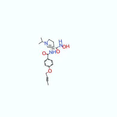 CC#CCOc1ccc(C(=O)N[C@@H]2CN(C(C)C)CC[C@@H]2C(=O)NO)cc1